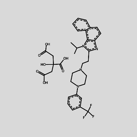 CC(C)n1c(CCN2CCN(c3cccc(C(F)(F)F)c3)CC2)nc2ccc3ccccc3c21.O=C(O)CC(O)(CC(=O)O)C(=O)O